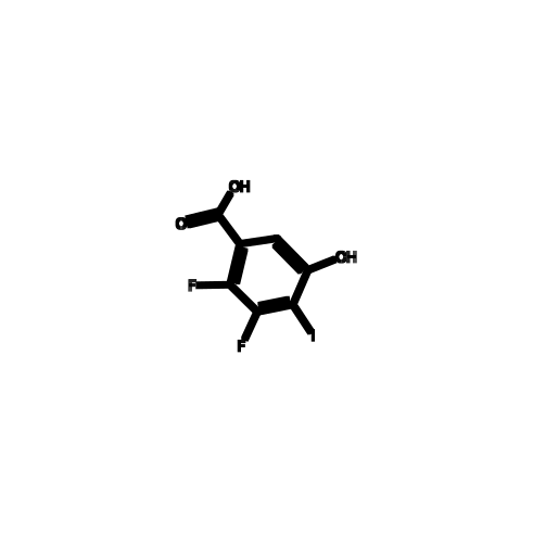 O=C(O)c1cc(O)c(I)c(F)c1F